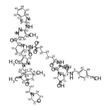 C#Cc1ccc(CNC(=O)[C@@H]2C[C@@H](O)CN2C(=O)[C@@H](NC(=O)CCCCCS(=O)(=O)NC(=O)c2nc(C(=O)c3cc(C)c(Nc4nc5ccccc5s4)nn3)ccc2-c2cnn(CC34CC5(OCCN6CCOCC6)C[C@](C)(C3)C[C@](C)(C4)C5)c2C)C(C)(C)C)cc1